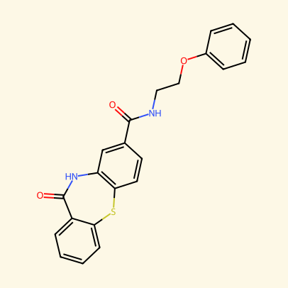 O=C(NCCOc1ccccc1)c1ccc2c(c1)NC(=O)c1ccccc1S2